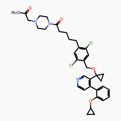 CC(C)COC(=O)CN1CCN(C(=O)CCCCc2cc(Cl)c(COC3(c4cnccc4-c4ccccc4OC4CC4)CC3)cc2Cl)CC1